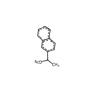 CC(=O)OC(C)c1ccc2ccccc2c1